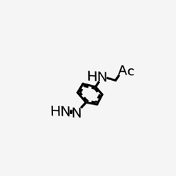 CC(=O)CNc1ccc(N=N)cc1